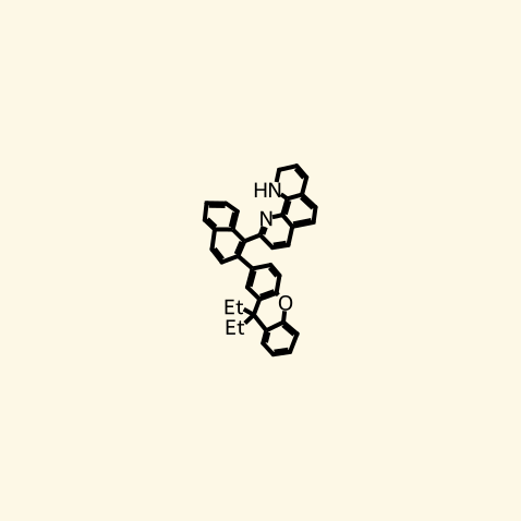 CCC1(CC)c2ccccc2Oc2ccc(-c3ccc4ccccc4c3-c3ccc4ccc5c(c4n3)NCC=C5)cc21